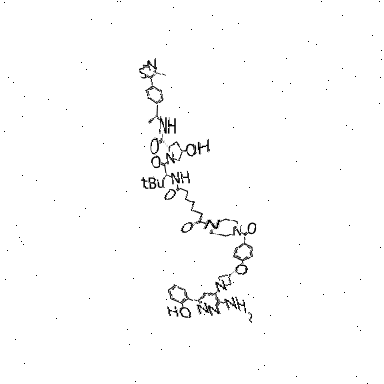 Cc1ncsc1-c1ccc([C@H](C)NC(=O)[C@@H]2C[C@@H](O)CN2C(=O)[C@@H](NC(=O)CCCCCC(=O)N2CCN(C(=O)c3ccc(OC4CN(c5cc(-c6ccccc6O)nnc5N)C4)cc3)CC2)C(C)(C)C)cc1